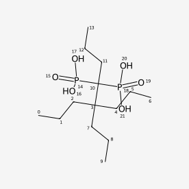 CCCC(CCC)(CCC)C(CCC)(P(=O)(O)O)P(=O)(O)O